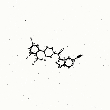 N#Cc1ccc2nnc(C(=O)N3CCC(c4cc(F)cc(F)c4C(F)F)CC3)n2c1